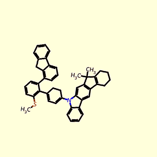 CSc1cccc(-c2cccc3c2Cc2ccccc2-3)c1C1=CC=C(n2c3ccccc3c3cc4c(cc32)C(C)(C)C2=C4CCCC2)CC1